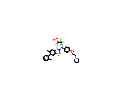 Cc1ccc(F)cc1-c1cc2nnc(Nc3ccc(OCCN4CCCC4)cc3)nc2cc1C.O=C(O)C(F)(F)F